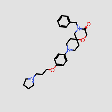 O=C1COC2(CCN(c3ccc(OCCCN4CCCC4)cc3)CC2)CN1Cc1ccccc1